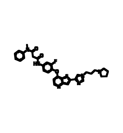 CN(C(=O)CC(=O)Nc1ccc(Oc2ccnc3cc(-c4cn(CCCN5CCCC5)cn4)sc23)c(F)c1)c1ccccc1